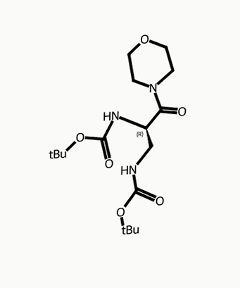 CC(C)(C)OC(=O)NC[C@@H](NC(=O)OC(C)(C)C)C(=O)N1CCOCC1